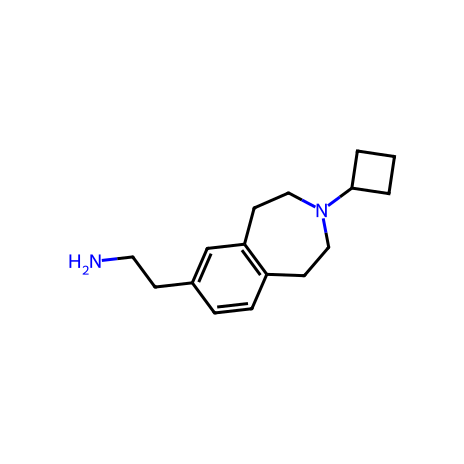 NCCc1ccc2c(c1)CCN(C1CCC1)CC2